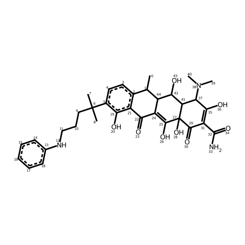 CC1c2ccc(C(C)(C)CCCNc3ccccc3)c(O)c2C(=O)C2=C(O)C3(O)C(=O)C(C(N)=O)=C(O)C(N(C)C)C3C(O)C21